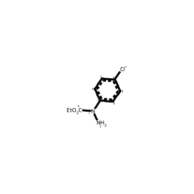 CCOC(=O)N(N)c1ccc(Cl)cc1